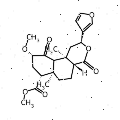 COC(=O)[C@@H]1C[C@H](OC)C(=O)C2[C@@]1(C)CC[C@H]1C(=O)O[C@H](c3ccoc3)C[C@]21C